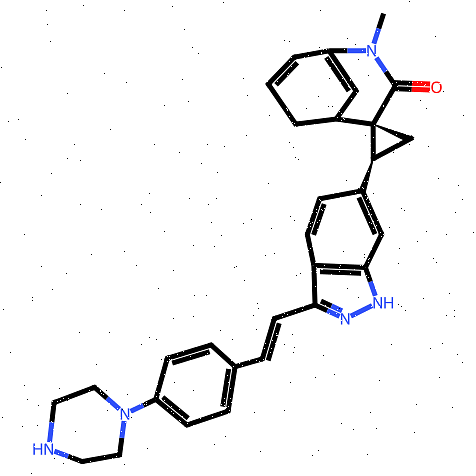 CN1C(=O)[C@@]2(C[C@H]2c2ccc3c(/C=C/c4ccc(N5CCNCC5)cc4)n[nH]c3c2)C2C=C1C=CC2